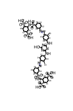 Cc1cc(Nc2nc(O)nc(Nc3ccc(/N=N/c4cccc(S(=O)(=O)Nc5cc(S(=O)(=O)O)ccc5S(=O)(=O)O)c4)c(C)c3)n2)ccc1/N=N/c1cccc(S(=O)(=O)Nc2cc(S(=O)(=O)O)ccc2S(=O)(=O)O)c1